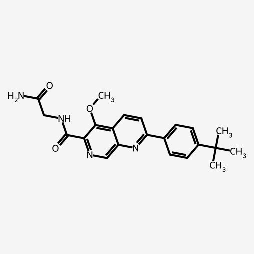 COc1c(C(=O)NCC(N)=O)ncc2nc(-c3ccc(C(C)(C)C)cc3)ccc12